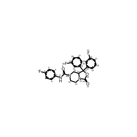 O=C(Nc1ccc(F)cc1)N1CCN2C(=O)OC(c3cccc(F)c3)(c3cccc(F)c3)C2C1